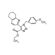 CCOC(=O)c1nnn(Cc2ccc(OC)cc2)c1-c1ccc2c(n1)CCCC2